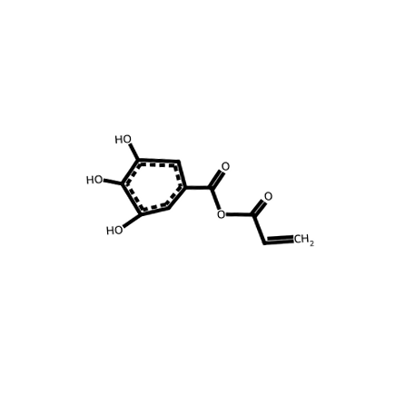 C=CC(=O)OC(=O)c1cc(O)c(O)c(O)c1